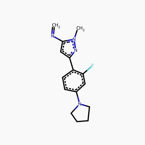 C=Nc1cc(-c2ccc(N3CCCC3)cc2F)nn1C